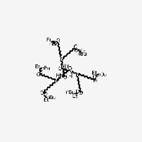 CCCCC(CC)COC(=O)CCCCCCCCN(CCCCCCCCC(=O)OCC(CC)CCCC)CCCNC(=O)c1cc(C(=O)NCCCN(CCCCCCCCC(=O)OCC(CC)CCCC)CCCCCCCCC(=O)OCC(CC)CCCC)cc(C(=O)NCCCN(CCCCCCCCC(=O)OCC(CC)CCCC)CCCCCCCCC(=O)OCC(CC)CCCC)c1